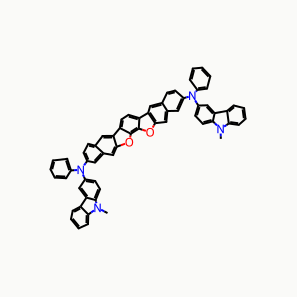 Cn1c2ccccc2c2cc(N(c3ccccc3)c3ccc4cc5c(cc4c3)oc3c5ccc4c5cc6ccc(N(c7ccccc7)c7ccc8c(c7)c7ccccc7n8C)cc6cc5oc43)ccc21